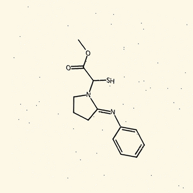 COC(=O)C(S)N1CCCC1=Nc1ccccc1